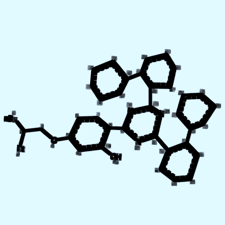 CCCCC(CC)COc1ccc(-c2nc(-c3ccccc3-c3ccccc3)nc(-c3ccccc3-c3ccccc3)n2)c(O)c1